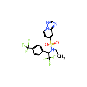 CCN(C(c1ccc(C(F)(F)F)cc1)C(F)(F)F)S(=O)(=O)c1ccn2ncnc2c1